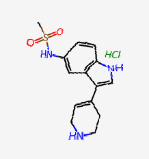 CS(=O)(=O)Nc1ccc2[nH]cc(C3=CCNCC3)c2c1.Cl